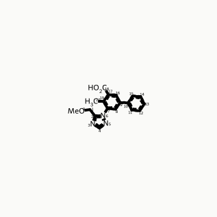 COCc1ncnn1-c1cc(-c2ccccc2)cc(C(=O)O)c1C